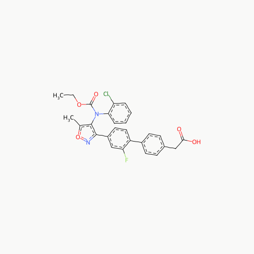 CCOC(=O)N(c1ccccc1Cl)c1c(-c2ccc(-c3ccc(CC(=O)O)cc3)c(F)c2)noc1C